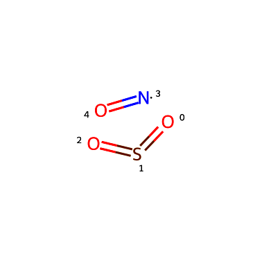 O=S=O.[N]=O